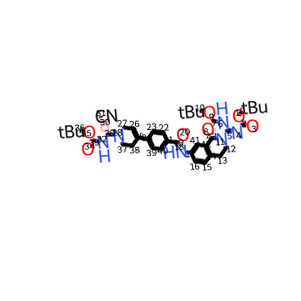 CC(C)(C)OC(=O)N=C(NC(=O)OC(C)(C)C)N1CCc2ccc(NC(=O)c3ccc(C4=CCN(C(=BC#N)NC(=O)OC(C)(C)C)CC4)cc3)cc2C1